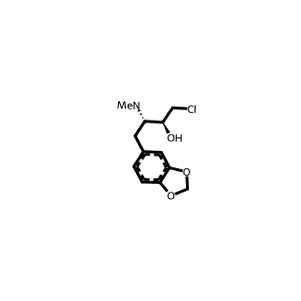 CN[C@@H](Cc1ccc2c(c1)OCO2)[C@H](O)CCl